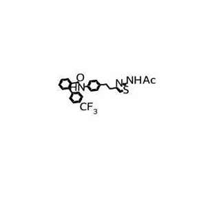 CC(=O)Nc1nc(CCc2ccc(NC(=O)c3ccccc3-c3ccc(C(F)(F)F)cc3)cc2)cs1